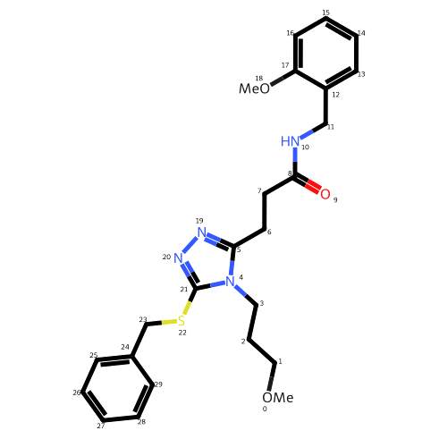 COCCCn1c(CCC(=O)NCc2ccccc2OC)nnc1SCc1ccccc1